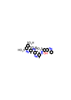 Cc1cc(/N=N\c2cc(C)c(/N=N/c3c(S(=O)(=O)O)cc4cc(/N=N\c5ccccc5)ccc4c3O)cc2C)ccc1/N=N\c1ccc(/N=N\c2cc3c(S(=O)(=O)O)cc(S(=O)(=O)O)cc3cc2S(=O)(=O)O)c(C)c1